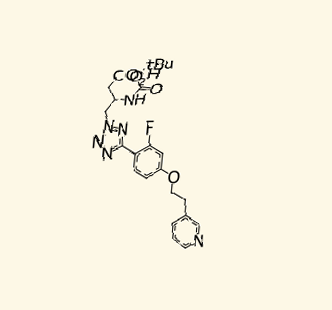 CC(C)(C)OC(=O)NC(CC(=O)O)Cn1nnc(-c2ccc(OCCc3cccnc3)cc2F)n1